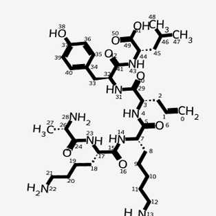 C=CC[C@H](NC(=O)[C@H](CCCCCN)NC(=O)[C@H](CCCCN)NC(=O)[C@H](C)N)C(=O)N[C@@H](Cc1ccc(O)cc1)C(=O)N[C@@H](CC(C)C)C(=O)O